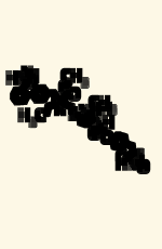 CCCc1nc(CSc2ccc(NC(=O)COc3ccc(CC4SC(=O)NC4=O)cc3)c(NC)n2)c(C(=O)OCC)n1Cc1ccc(-c2ccccc2-c2nnn[nH]2)cc1